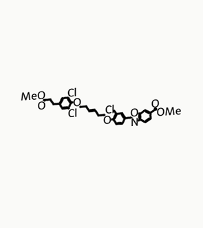 COC(=O)CCc1cc(Cl)c(OCC/C=C/CCOc2ccc(-c3nc4ccc(C(=O)OC)cc4o3)cc2Cl)c(Cl)c1